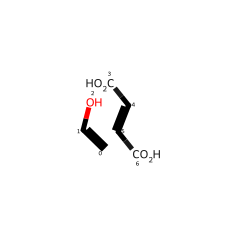 C=CO.O=C(O)C=CC(=O)O